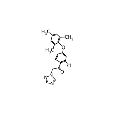 Cc1cc(C)c(Oc2ccc(C(=O)Cn3cncn3)c(Cl)c2)c(C)c1